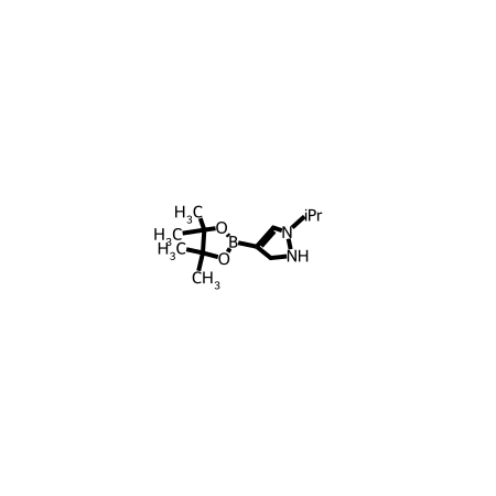 CC(C)N1C=C(B2OC(C)(C)C(C)(C)O2)CN1